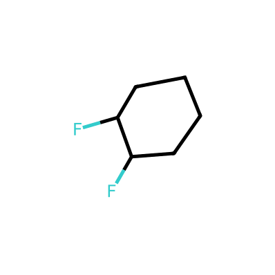 FC1CCCCC1F